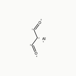 O=CCC=O.[Al]